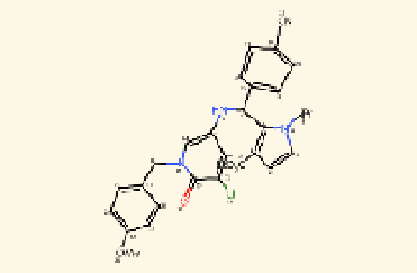 CCOC(=O)c1ccn(C(C)C)c1C(Nc1cc(Cl)c(=O)n(Cc2ccc(OC)cc2)c1)c1ccc(C#N)cc1